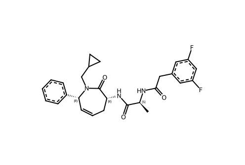 C[C@H](NC(=O)Cc1cc(F)cc(F)c1)C(=O)N[C@@H]1CC=C[C@H](c2ccccc2)N(CC2CC2)C1=O